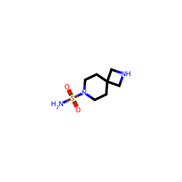 NS(=O)(=O)N1CCC2(CC1)CNC2